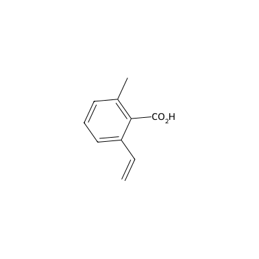 C=Cc1cccc(C)c1C(=O)O